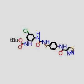 CC(C)(C)OC(=O)Nc1cc(Cl)cc(NC(=O)NSc2ccc(NC(=O)c3csnn3)cc2)c1